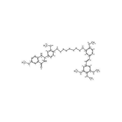 COc1ccc2c(c1)C(=O)NC(c1ccc(OCCCCCCCOc3cc(C=Cc4cc(OC)c(OC)c(OC)c4)ccc3OC)c(OC)c1)N2